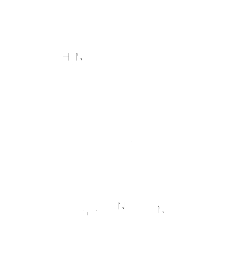 CCCn1cncc1CSc1ccc(N)cc1C